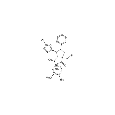 COc1cc(C(=O)N2[C@@H](c3cnc(Cl)s3)[C@@H](c3cnccn3)C[C@@]2(CC(C)C)C(=O)OC(C)(C)C)ccc1C(C)(C)C